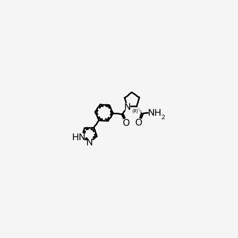 NC(=O)[C@H]1CCCN1C(=O)c1cccc(-c2cn[nH]c2)c1